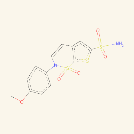 COc1ccc(N2C=Cc3cc(S(N)(=O)=O)sc3S2(=O)=O)cc1